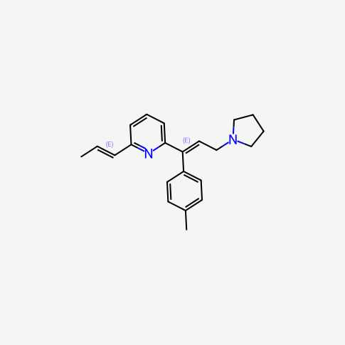 C/C=C/c1cccc(/C(=C/CN2CCCC2)c2ccc(C)cc2)n1